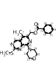 CSc1ncc2c(C)c(COC(=O)c3ccccc3)nc(N3CCOCC3)c2n1